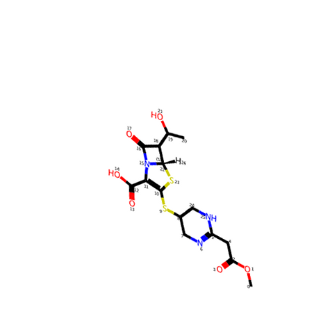 COC(=O)CC1=NCC(SC2=C(C(=O)O)N3C(=O)C(C(C)O)[C@@H]3S2)CN1